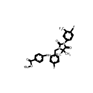 CC(C)(C)OC(=O)c1ccc(Nc2cc(F)ccc2CN2C(=O)N(c3ccc(F)c(C(F)(F)F)c3)C(=O)C2(C)C)cc1